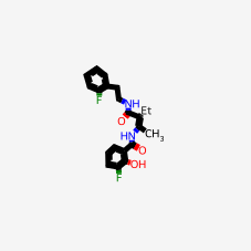 CC/C(C(=O)NCCc1ccccc1F)=C(\C)NC(=O)c1cccc(F)c1O